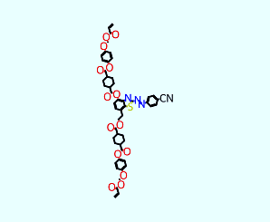 C=CC(=O)OCOc1ccc(OC(=O)C2CCC(C(=O)OCCc3ccc(OC(=O)C4CCC(C(=O)Oc5ccc(OCOC(=O)C=C)cc5)CC4)c4nc(/N=N/c5ccc(C#N)cc5)sc34)CC2)cc1